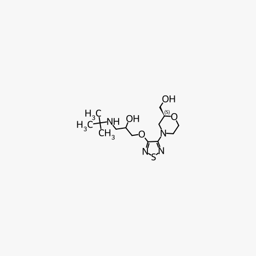 CC(C)(C)NCC(O)COc1nsnc1N1CCO[C@H](CO)C1